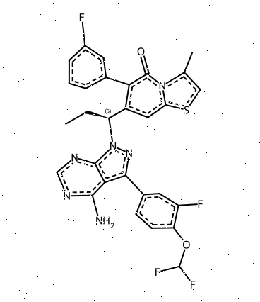 CC[C@@H](c1cc2scc(C)n2c(=O)c1-c1cccc(F)c1)n1nc(-c2ccc(OC(F)F)c(F)c2)c2c(N)ncnc21